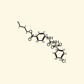 CCCCOC(=O)c1ccc(NC(=O)NS(=O)(=O)c2ccc(Cl)cc2)cc1